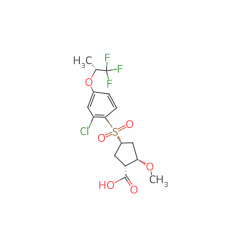 CO[C@@H]1C[C@H](S(=O)(=O)c2ccc(O[C@H](C)C(F)(F)F)cc2Cl)C[C@H]1C(=O)O